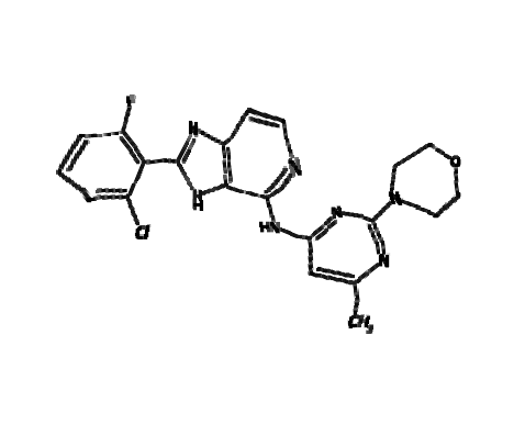 Cc1cc(Nc2nccc3nc(-c4c(F)cccc4Cl)[nH]c23)nc(N2CCOCC2)n1